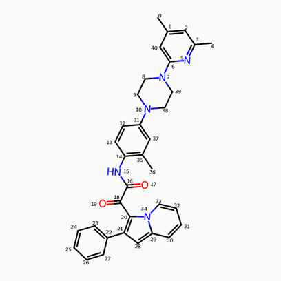 Cc1cc(C)nc(N2CCN(c3ccc(NC(=O)C(=O)c4c(-c5ccccc5)cc5ccccn45)c(C)c3)CC2)c1